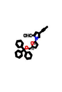 CC#Cc1cc(C=O)n([C@H]2CC[C@@H](COC(c3ccccc3)(c3ccccc3)c3ccccc3)O2)c1